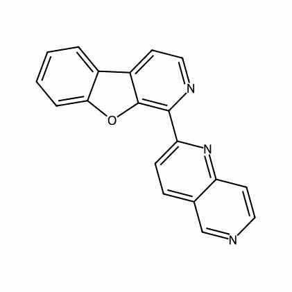 c1ccc2c(c1)oc1c(-c3ccc4cnccc4n3)nccc12